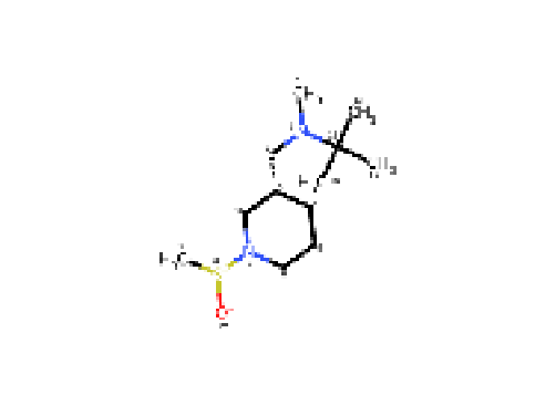 CN(C[C@@H]1CCCN([S+](C)[O-])C1)C(C)(C)C